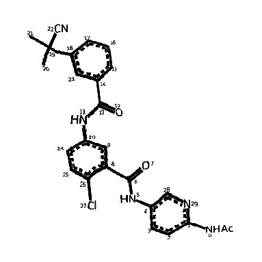 CC(=O)Nc1ccc(NC(=O)c2cc(NC(=O)c3cccc(C(C)(C)C#N)c3)ccc2Cl)cn1